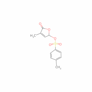 CC1=CC(OS(=O)(=O)c2ccc(C)cc2)OC1=O